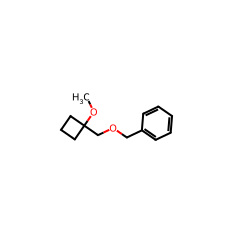 COC1(COCc2ccccc2)CCC1